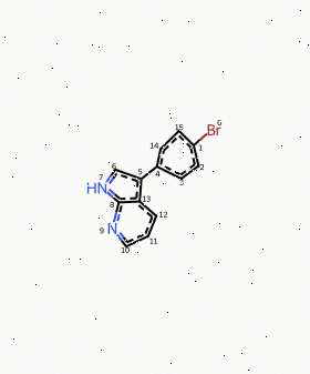 Brc1ccc(-c2c[nH]c3ncccc23)cc1